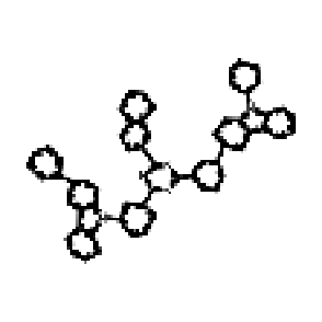 c1ccc(-c2ccc3c(c2)c2ccccc2n3-c2cccc(-c3nc(-c4cccc(-c5ccc6c(c5)c5ccccc5n6-c5ccccc5)c4)nc(-c4ccc5ccccc5c4)n3)c2)cc1